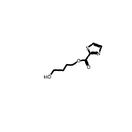 O=C(OCCCCO)c1nccs1